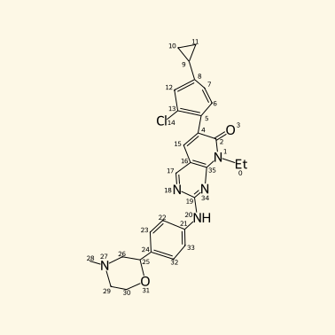 CCn1c(=O)c(-c2ccc(C3CC3)cc2Cl)cc2cnc(Nc3ccc(C4CN(C)CCO4)cc3)nc21